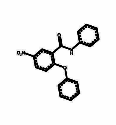 O=C(Nc1ccccc1)c1cc([N+](=O)[O-])ccc1Oc1ccccc1